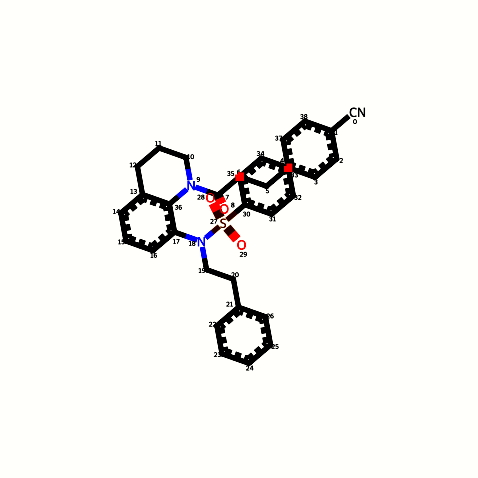 N#Cc1ccc(CCC(=O)N2CCCc3cccc(N(CCc4ccccc4)S(=O)(=O)c4ccccc4)c32)cc1